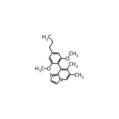 CCCc1cc(OC)c(-c2c(C)c(C)cn3ccnc23)c(OC)c1